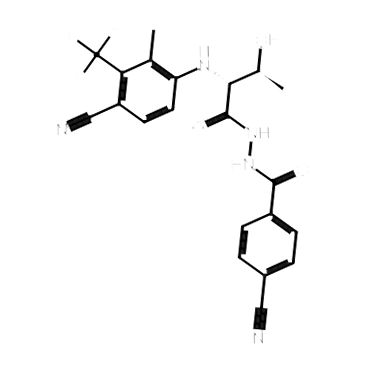 Cc1c(N[C@@H](C(=O)NNC(=O)c2ccc(C#N)cc2)[C@H](C)O)ccc(C#N)c1C(F)(F)F